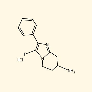 Cl.NC1CCn2c(nc(-c3ccccc3)c2F)C1